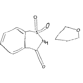 C1CCOC1.O=C1NS(=O)(=O)c2ccccc21